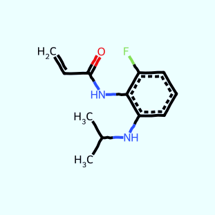 C=CC(=O)Nc1c(F)cccc1NC(C)C